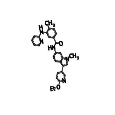 CCOc1ccc(-c2cn(C)c3cc(NC(=O)c4ccc(C)c(Nc5ccccn5)c4)ccc23)cn1